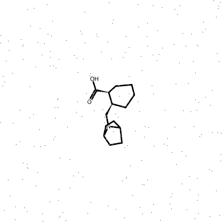 O=C(O)[C@H]1CCCC[C@H]1CN1C2CCC1CC2